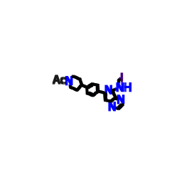 CC(=O)N1CCC(c2ccc(-c3cc4nccnc4c(NCI)n3)cc2)CC1